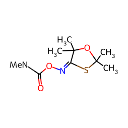 CNC(=O)ON=C1SC(C)(C)OC1(C)C